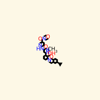 Cn1nc(-c2cccc(N3CCc4cc(C5CC5)ccc4C3=O)c2CO)cc(Nc2ccc(C(=O)N3CCOCC3)cn2)c1=O